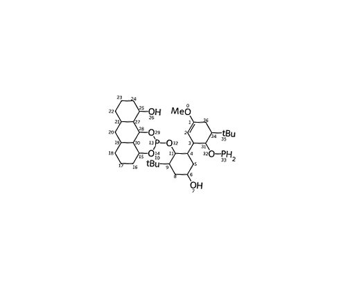 COC1=CC(C2CC(O)CC(C(C)(C)C)C2OP2OC3CCCC4CC5CCCC(O)C5C(O2)C43)C(OP)C(C(C)(C)C)C1